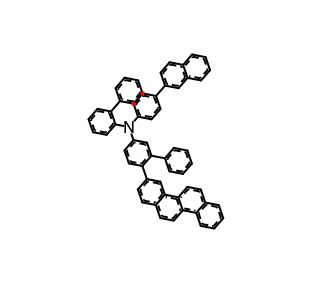 c1ccc(-c2cc(N(c3ccc(-c4ccc5ccccc5c4)cc3)c3ccccc3-c3ccccc3)ccc2-c2ccc3ccc4c5ccccc5ccc4c3c2)cc1